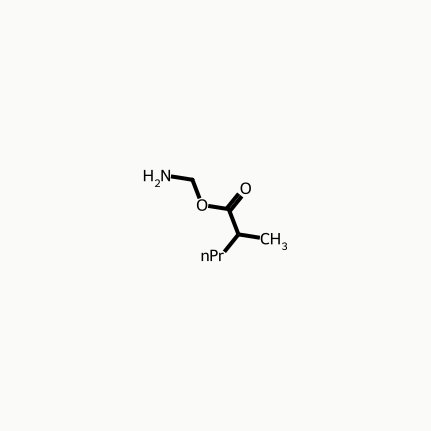 CCCC(C)C(=O)OCN